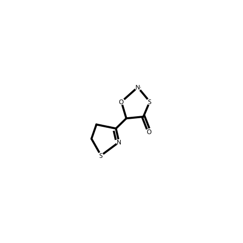 O=C1S[N]OC1C1=NSCC1